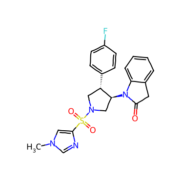 Cn1cnc(S(=O)(=O)N2C[C@H](c3ccc(F)cc3)[C@@H](N3C(=O)Cc4ccccc43)C2)c1